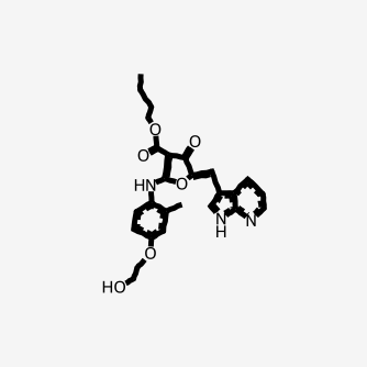 CCCCOC(=O)C1=C(Nc2ccc(OCCO)cc2C)O/C(=C\c2c[nH]c3ncccc23)C1=O